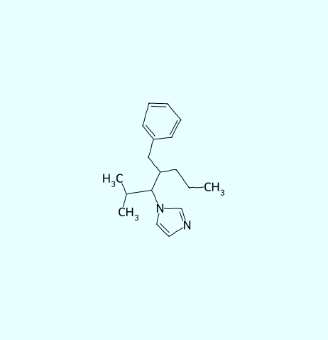 CCCC(Cc1ccccc1)C(C(C)C)n1ccnc1